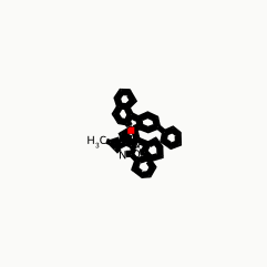 CC1C2C(n3c4cc(-c5ccccc5)ccc4c4c5ccccc5ccc43)=NC(c3ccccc3)=NC12c1cccc2c1oc1ccccc12